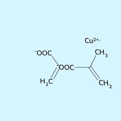 C=C(C)C(=O)[O-].C=CC(=O)[O-].[Cu+2]